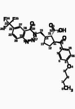 CCCCOc1ccc(C(=O)[C@H]2CC[C@@H](Cn3nnc4ccc(C(F)(F)F)cc4c3=O)[C@@H]2C(=O)O)cc1